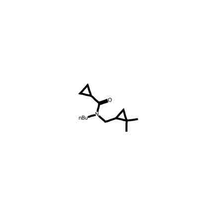 CCCCN(CC1CC1(C)C)C(=O)C1CC1